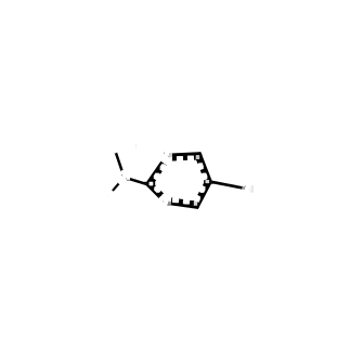 CCCCCCCCN(CCCCCCCC)c1ncc(N)cn1